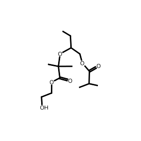 CCC(COC(=O)C(C)C)OC(C)(C)C(=O)OCCO